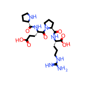 N=C(N)NCCC[C@H](NC(=O)[C@@H]1CCCN1C(=O)[C@H](CCC(=O)O)NC(=O)[C@@H]1CCCN1)C(=O)O